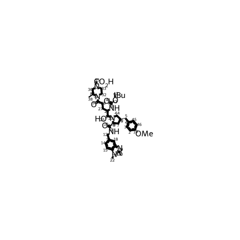 COc1ccc(C[C@@H]2C[C@@H](C(=O)NCc3ccc4c(c3)nnn4C)N(C(O)C(CCC(=O)N3CCN(C(=O)O)C[C@@H]3C)NC(=O)OC(C)(C)C)C2)cc1